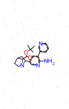 CC(C)(C)OC(=O)C1C2CCN1C(c1cnc(N)c(-c3cccnc3)c1)C2